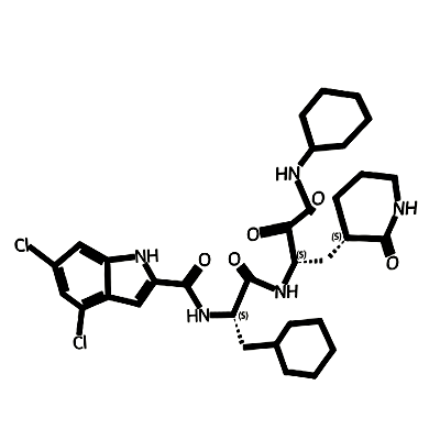 O=C(NC1CCCCC1)C(=O)[C@H](C[C@@H]1CCCNC1=O)NC(=O)[C@H](CC1CCCCC1)NC(=O)c1cc2c(Cl)cc(Cl)cc2[nH]1